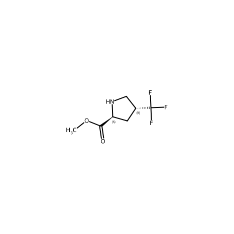 COC(=O)[C@@H]1C[C@@H](C(F)(F)F)CN1